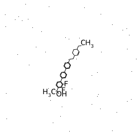 CCCC1C=CC(CCc2ccc(-c3ccc(-c4ccc(C(C)O)c(F)c4F)cc3)cc2)CC1